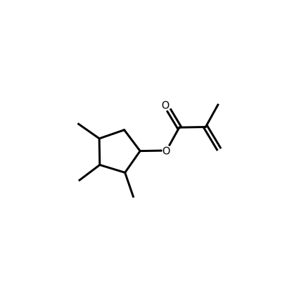 C=C(C)C(=O)OC1CC(C)C(C)C1C